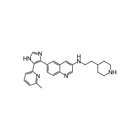 Cc1cccc(-c2[nH]cnc2-c2ccc3ncc(NCCC4CCNCC4)cc3c2)n1